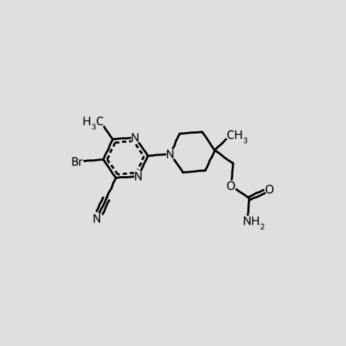 Cc1nc(N2CCC(C)(COC(N)=O)CC2)nc(C#N)c1Br